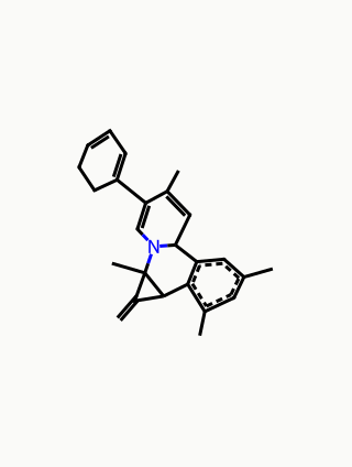 C=C1C2c3c(C)cc(C)cc3C3C=C(C)C(C4=CC=CCC4)=CN3C12C